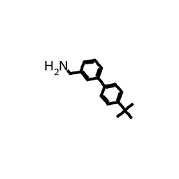 CC(C)(C)c1ccc(-c2cccc(CN)c2)cc1